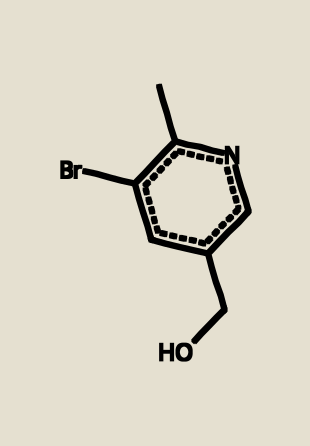 Cc1ncc(CO)cc1Br